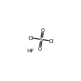 F.O=S(=O)(Cl)Cl